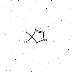 CCC1(C)CNC=N1